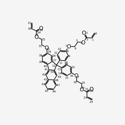 C=CC(=O)OCCOc1ccc(C2(c3ccc(OCCOC(=O)C=C)cc3)c3cc(OCCOC(=O)C=C)ccc3-c3cc4ccccc4cc32)cc1